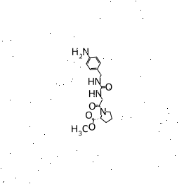 COC(=O)[C@H]1CCCN1C(=O)CNC(=O)NCc1ccc(N)cc1